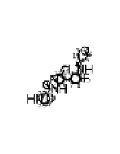 O=C(Nc1cc(-c2ccc(F)c(NCC3CCOCC3)c2)c(Cl)cn1)[C@H]1CNCCO1